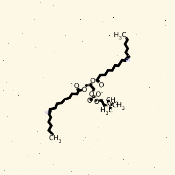 CCCCC/C=C\CCCCCCCC(=O)O[C@H](COC(=O)CCCCCCC/C=C\CCCCCC)COP(=O)([O-])OCC[N+](C)(C)C